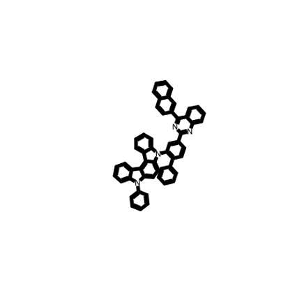 c1ccc(-c2ccc(-c3nc(-c4ccc5ccccc5c4)c4ccccc4n3)cc2-n2c3ccccc3c3c4c5ccccc5n(-c5ccccc5)c4ccc32)cc1